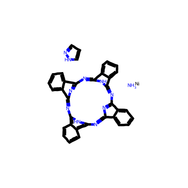 N.[Ni].c1ccc2c(c1)-c1nc-2nc2[nH]c(nc3nc(nc4[nH]c(n1)c1ccccc41)-c1ccccc1-3)c1ccccc21.c1cn[nH]c1